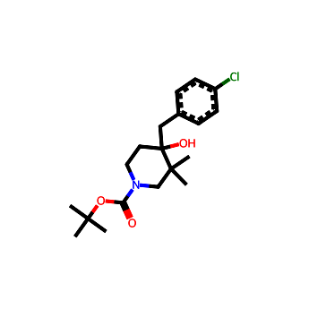 CC(C)(C)OC(=O)N1CCC(O)(Cc2ccc(Cl)cc2)C(C)(C)C1